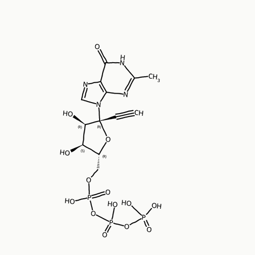 C#C[C@@]1(n2cnc3c(=O)[nH]c(C)nc32)O[C@H](COP(=O)(O)OP(=O)(O)OP(=O)(O)O)[C@@H](O)[C@H]1O